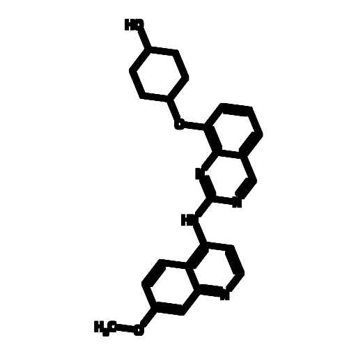 COc1ccc2c(Nc3ncc4cccc(OC5CCC(O)CC5)c4n3)ccnc2c1